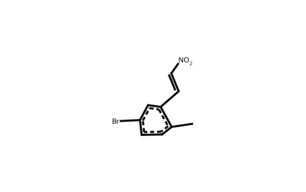 Cc1ccc(Br)cc1C=C[N+](=O)[O-]